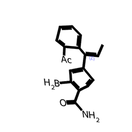 Bc1cc(/C(=C/C)c2ccccc2C(C)=O)ccc1C(N)=O